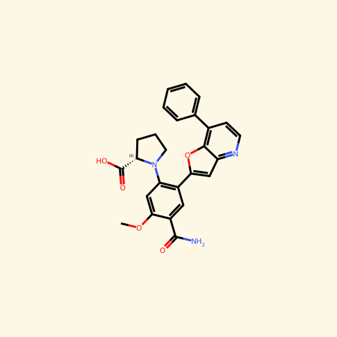 COc1cc(N2CCC[C@H]2C(=O)O)c(-c2cc3nccc(-c4ccccc4)c3o2)cc1C(N)=O